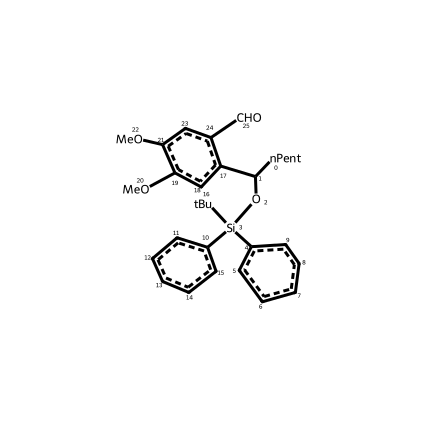 CCCCCC(O[Si](c1ccccc1)(c1ccccc1)C(C)(C)C)c1cc(OC)c(OC)cc1C=O